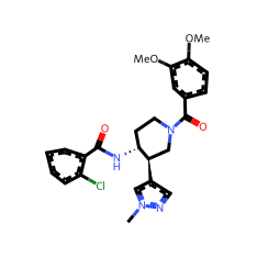 COc1ccc(C(=O)N2CC[C@@H](NC(=O)c3ccccc3Cl)[C@H](c3cnn(C)c3)C2)cc1OC